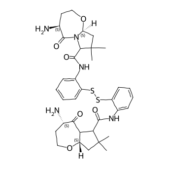 CC1(C)C[C@@H]2OCC[C@H](N)C(=O)C2C1C(=O)Nc1ccccc1SSc1ccccc1NC(=O)C1N2C(=O)[C@@H](N)CCO[C@H]2CC1(C)C